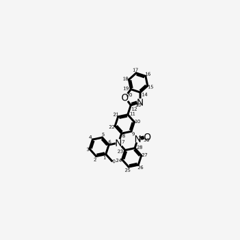 Cc1ccccc1N(c1ccc(-c2nc3ccccc3o2)cc1)c1ccccc1N=O